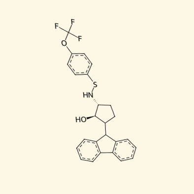 O[C@@H]1C(C2c3ccccc3-c3ccccc32)CC[C@H]1NSc1ccc(OC(F)(F)F)cc1